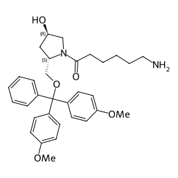 COc1ccc(C(OC[C@@H]2C[C@@H](O)CN2C(=O)CCCCCN)(c2ccccc2)c2ccc(OC)cc2)cc1